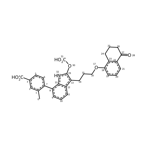 Cc1cc(C(=O)O)ccc1-c1cccc2c(CCCOc3cccc4c3CCCC4=O)c(OC(=O)O)[nH]c12